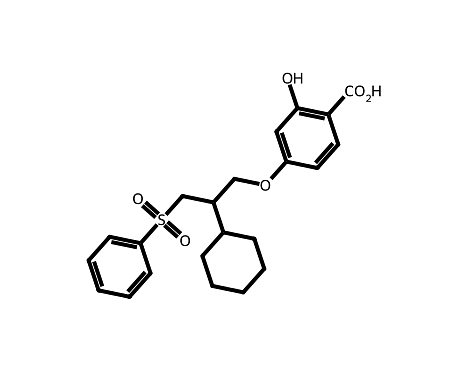 O=C(O)c1ccc(OCC(CS(=O)(=O)c2ccccc2)C2CCCCC2)cc1O